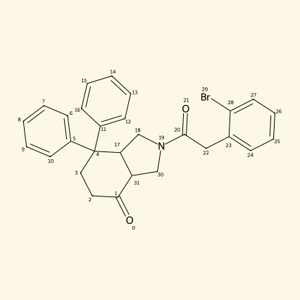 O=C1CCC(c2ccccc2)(c2ccccc2)C2CN(C(=O)Cc3ccccc3Br)CC12